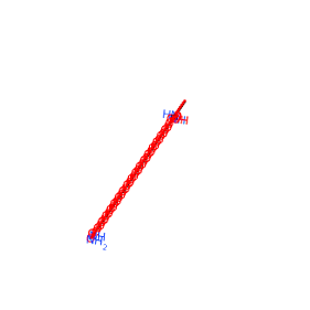 CCCCCCCCCCCCCC(=O)N[C@@H](CNC(=O)CCCOCCOCCOCCOCCOCCOCCOCCOCCOCCOCCOCCOCCOCCOCCOCCOCCOCCOCCOCCOCCOCCOCCOCCOCCOCCOCCOCCOCCOCCOCCOCCOCCOCCOCCOCCOCCC(=O)NCCON)C(=O)O